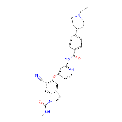 CCN1CCC(c2ccc(C(=O)Nc3cc(Oc4cc5ccn(C(=O)NC)c5cc4C#N)ccn3)cc2)CC1